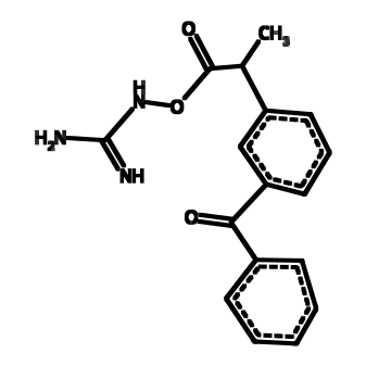 CC(C(=O)ONC(=N)N)c1cccc(C(=O)c2ccccc2)c1